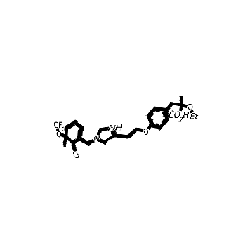 CCOC(C)(Cc1ccc(OCCC2CN(CC3=CC=CC(C)(OC(F)(F)F)C3=O)CN2)cc1)C(=O)O